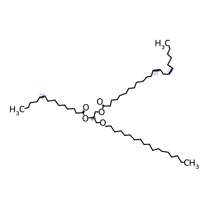 CCCC/C=C\CCCCCCCC(=O)O[C@H](COCCCCCCCCCCCCCCCCCC)COC(=O)CCCCCCCCCCC/C=C\C/C=C\CCCCC